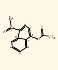 CC(=O)Oc1ccc([N+](=O)[O-])c2ccccc12